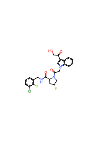 O=C(CO)c1cn(CC(=O)N2C[C@H](F)C[C@H]2C(=O)NCc2cccc(Cl)c2F)c2ccccc12